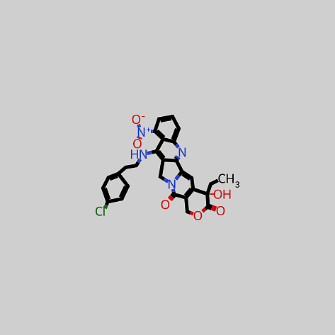 CC[C@@]1(O)C(=O)OCc2c1cc1n(c2=O)Cc2c-1nc1cccc([N+](=O)[O-])c1c2NCCc1ccc(Cl)cc1